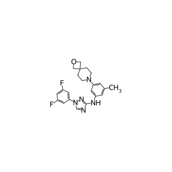 Cc1cc(Nc2ncn(-c3cc(F)cc(F)c3)n2)cc(N2CCC3(CC2)COC3)c1